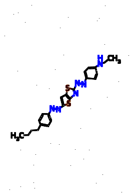 CCCCc1ccc(N=Nc2cc3sc(N=Nc4ccc(NCC)cc4)nc3s2)cc1